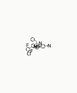 N#Cc1ccc2[nH]c(C(Cc3ccccc3)c3ccc(-c4c(F)ccc(Cl)c4F)c[n+]3[O-])nc2c1